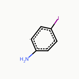 Nc1[c]cc(I)cc1